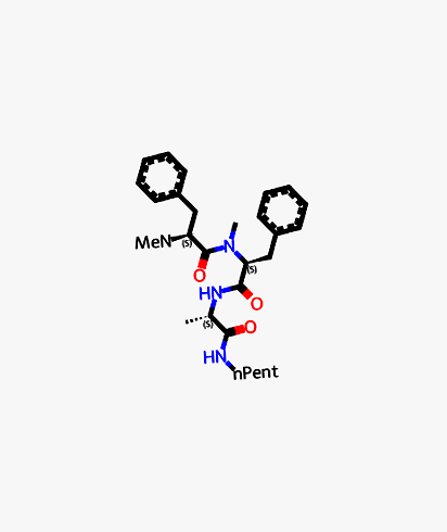 CCCCCNC(=O)[C@H](C)NC(=O)[C@H](Cc1ccccc1)N(C)C(=O)[C@H](Cc1ccccc1)NC